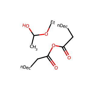 CCCCCCCCCCCC(=O)OC(=O)CCCCCCCCCCC.CCOC(C)O